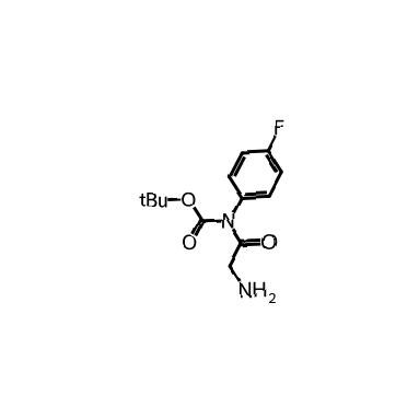 CC(C)(C)OC(=O)N(C(=O)CN)c1ccc(F)cc1